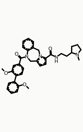 COc1ccccc1-c1ccc(C(=O)N2Cc3ccc(C(=O)NCCC4CCCN4C)n3Cc3ccccc32)cc1OC